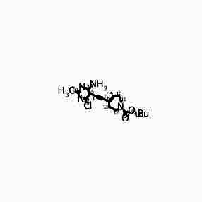 Cc1nc(N)c(C#CC2=CCCN(C(=O)OC(C)(C)C)CC2)c(Cl)n1